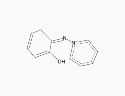 OC1=CC=CCC1=N[n+]1ccccc1